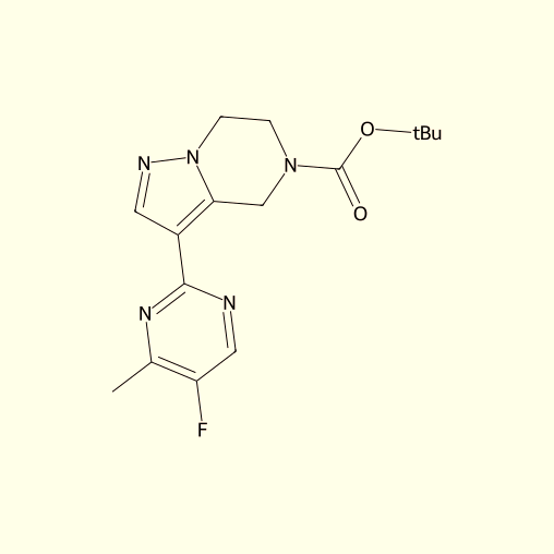 Cc1nc(-c2cnn3c2CN(C(=O)OC(C)(C)C)CC3)ncc1F